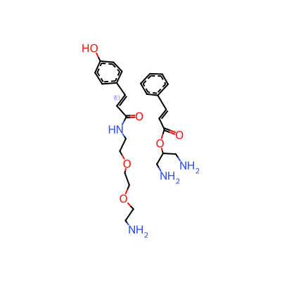 NCC(CN)OC(=O)C=Cc1ccccc1.NCCOCCOCCNC(=O)/C=C/c1ccc(O)cc1